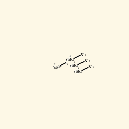 CCCC[S-].CCCC[S-].CCCC[S-].[CH3][Sn+3]